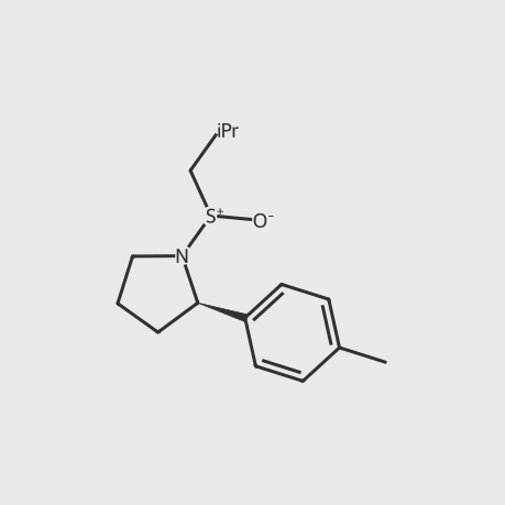 Cc1ccc([C@H]2CCCN2[S+]([O-])CC(C)C)cc1